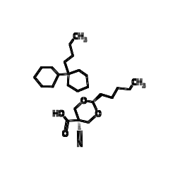 CCCCC1(C2CCCCC2)CCCCC1.CCCCC[C@H]1OC[C@@](C#N)(C(=O)O)CO1